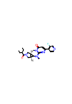 CCC(CC)C(=O)N1C[C@@H]2C(N(C)c3nc(-c4ccncc4F)cc(=O)n3C)[C@@H]2C1